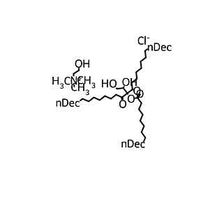 CCCCCCCCCCCCCCCCCC(=O)OC(C(=O)CCCCCCCCCCCCCCCCC)(C(=O)CCCCCCCCCCCCCCCCC)C(O)CO.C[N+](C)(C)CCO.[Cl-]